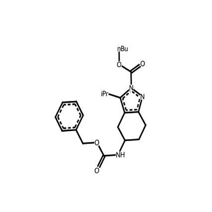 CCCCOC(=O)n1nc2c(c1C(C)C)CC(NC(=O)OCc1ccccc1)CC2